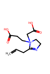 C=CCC1=NCC[N+]1(CCC(=O)O)CC(=O)O